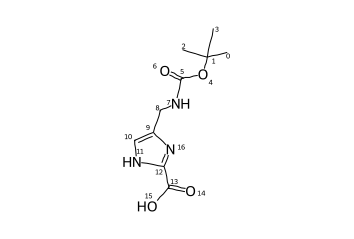 CC(C)(C)OC(=O)NCc1c[nH]c(C(=O)O)n1